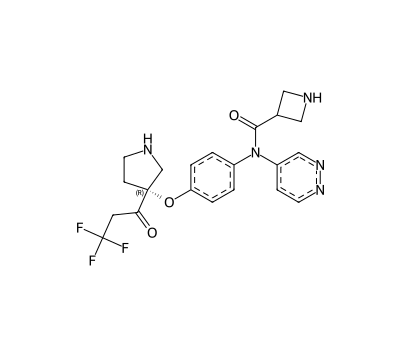 O=C(C1CNC1)N(c1ccc(O[C@]2(C(=O)CC(F)(F)F)CCNC2)cc1)c1ccnnc1